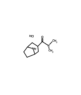 CN(C)C(=O)C1CC2CCC(C1)N2.Cl